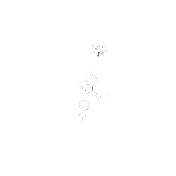 CC(C)OC(=O)Nc1ccc(-c2c(N)c3ccc(OCCn4ncnn4)cc3n2CC2CC2)cc1